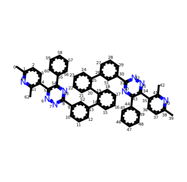 Cc1ccc(-c2nnc(-c3cccc(-c4ccccc4-c4ccccc4-c4cccc(-c5nnc(-c6ccc(C)nc6C)c(-c6ccccc6)n5)c4)c3)nc2-c2ccccc2)c(C)n1